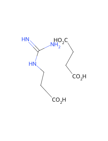 N=C(N)NCCC(=O)O.O=C(O)CCC(=O)O